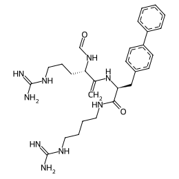 C=C(N[C@@H](Cc1ccc(-c2ccccc2)cc1)C(=O)NCCCCNC(=N)N)[C@H](CCCNC(=N)N)NC=O